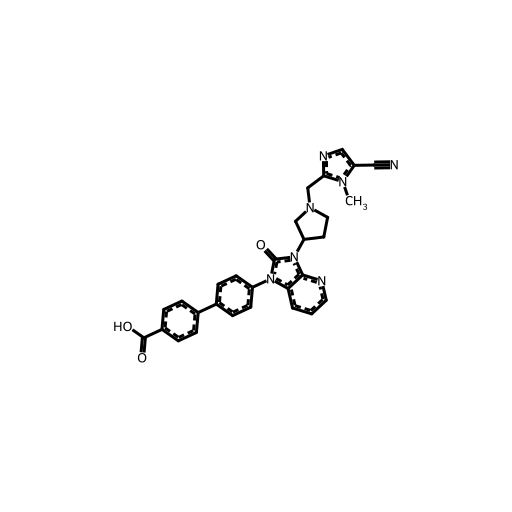 Cn1c(C#N)cnc1CN1CCC(n2c(=O)n(-c3ccc(-c4ccc(C(=O)O)cc4)cc3)c3cccnc32)C1